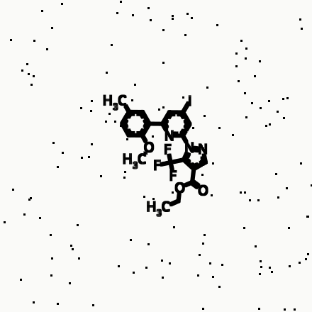 CCOC(=O)c1cnn(-c2cc(I)cc(-c3cc(C)ccc3OC)n2)c1C(F)(F)F